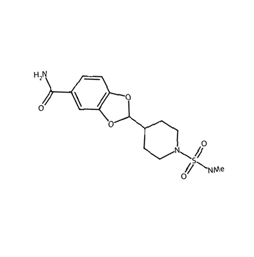 CNS(=O)(=O)N1CCC(C2Oc3ccc(C(N)=O)cc3O2)CC1